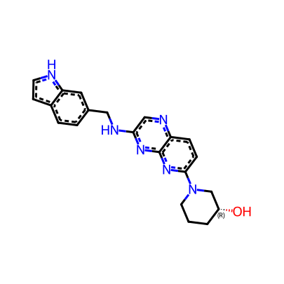 O[C@@H]1CCCN(c2ccc3ncc(NCc4ccc5cc[nH]c5c4)nc3n2)C1